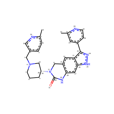 Cc1ccc(CN2CCC[C@@H](N3Cc4cc5c(-c6ccnc(C)c6)n[nH]c5cc4NC3=O)C2)cn1